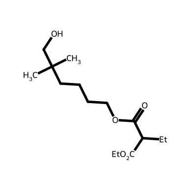 CCOC(=O)C(CC)C(=O)OCCCCC(C)(C)CO